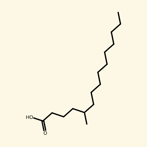 CCCCCCCCCCC(C)CCCC(=O)O